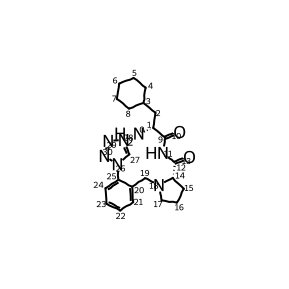 N[C@H](CC1CCCCC1)C(=O)NC(=O)[C@@H]1CCCN1Cc1ccccc1-n1cnnn1